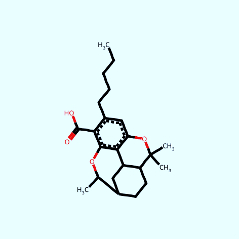 CCCCCc1cc2c3c(c1C(=O)O)OC(C)C1CCC(C3C1)C(C)(C)O2